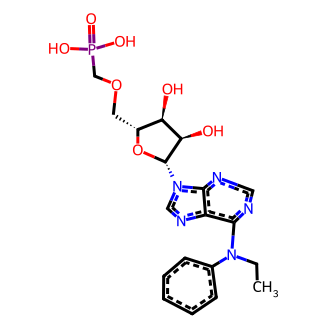 CCN(c1ccccc1)c1ncnc2c1ncn2[C@@H]1O[C@H](COCP(=O)(O)O)[C@@H](O)[C@H]1O